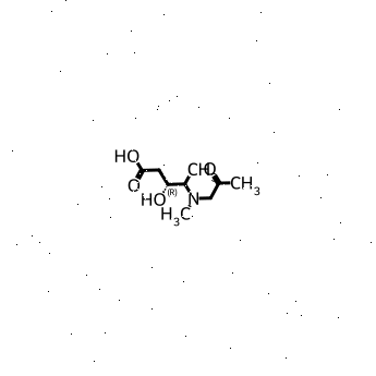 CC(=O)CN(C)C(C)[C@H](O)CC(=O)O